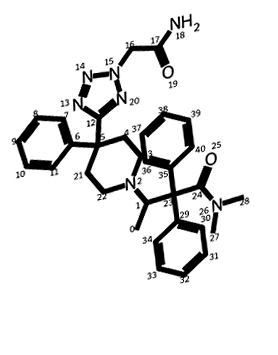 CC(N1CCC(c2ccccc2)(c2nnn(CC(N)=O)n2)CC1)C(C(=O)N(C)C)(c1ccccc1)c1ccccc1